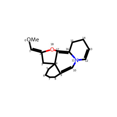 COC=C1CC23CCCCC2=CN2C=CCCC2=C3O1